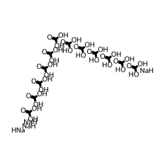 O=C(O)O.O=C(O)O.O=C(O)O.O=C(O)O.O=C(O)O.O=C(O)O.O=C(O)O.O=C(O)O.O=C(O)O.O=C(O)O.O=C(O)O.O=C(O)O.[NaH].[NaH].[NaH].[NaH]